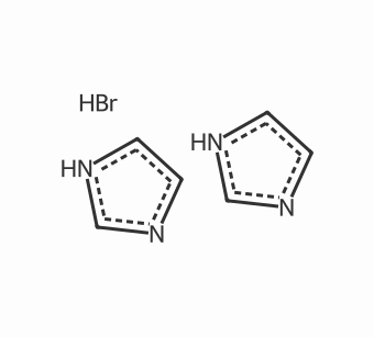 Br.c1c[nH]cn1.c1c[nH]cn1